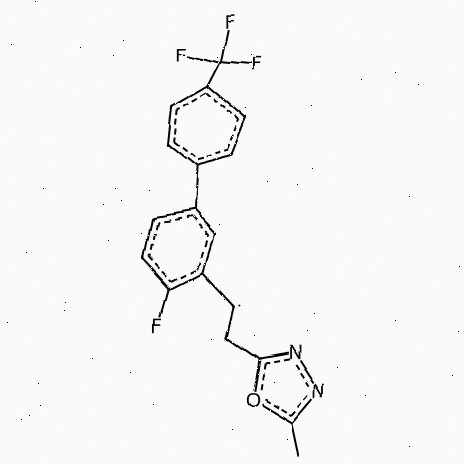 Cc1nnc(C[CH]c2cc(-c3ccc(C(F)(F)F)cc3)ccc2F)o1